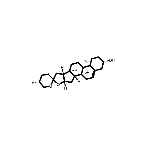 C[C@@H]1CC[C@@]2(C[C@H]3[C@H](C[C@H]4[C@@H]5CC=C6C[C@@H](O)CC[C@]6(C)C5CC[C@]34C)O2)OC1